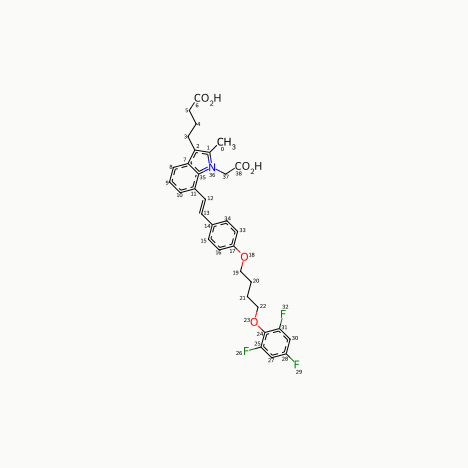 Cc1c(CCCC(=O)O)c2cccc(/C=C/c3ccc(OCCCCOc4c(F)cc(F)cc4F)cc3)c2n1CC(=O)O